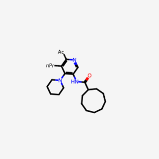 CCCc1c(C(C)=O)ncc(NC(=O)C2CCCCCCCC2)c1N1CCCCC1